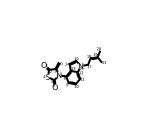 C=C1C(=O)SC(=O)N1c1cccc2c1ccn2CC=C(C)C